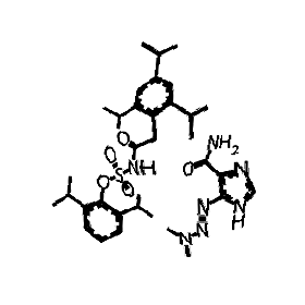 CC(C)c1cc(C(C)C)c(CC(=O)NS(=O)(=O)Oc2c(C(C)C)cccc2C(C)C)c(C(C)C)c1.CN(C)/N=N/c1[nH]cnc1C(N)=O